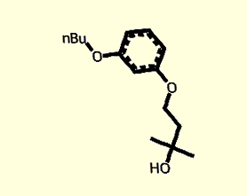 CCCCOc1cccc(OCCC(C)(C)O)c1